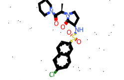 C[C@H](C(=O)N1CCCCC1)N1CC[C@@H](NS(=O)(=O)c2ccc3cc(Cl)ccc3c2)C1=O